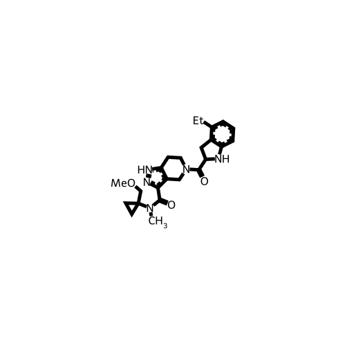 CCc1cccc2c1CC(C(=O)N1CCc3[nH]nc(C(=O)N(C)C4(COC)CC4)c3C1)N2